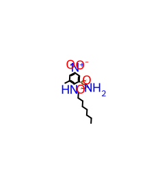 CCCCCCCCNc1c(C)cc([N+](=O)[O-])cc1S(N)(=O)=O